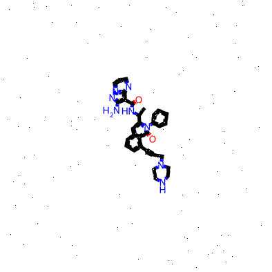 CC(NC(=O)c1c(N)nn2cccnc12)c1cc2cccc(C#CCN3CCNCC3)c2c(=O)n1-c1ccccc1